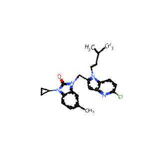 Cc1ccc2c(c1)n(Cc1cc3nc(Cl)ccc3n1CCC(C)C)c(=O)n2C1CC1